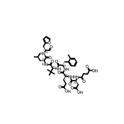 Cc1ccccc1C[C@H](NC(=O)[C@H](CCC(=O)O)NC(=O)[C@H](CC(=O)O)NC(=O)CCC(=O)O)C(=O)N[C@H](C(=O)N[C@@H](CC(C)C)C(=O)N[C@H](C=O)Cc1ccco1)C(C)(C)C